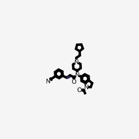 CC(=O)N1CCc2ccc(N(C(=O)/C=C/c3cccc(C#N)c3)C3CCN(CCC4CCCC4)CC3)cc21